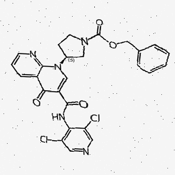 O=C(Nc1c(Cl)cncc1Cl)c1cn([C@H]2CCN(C(=O)OCc3ccccc3)C2)c2ncccc2c1=O